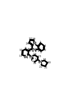 c1ccc2c(c1)NC(c1cccnc1N1CCC(N3CCCC3)CC1)c1cccn1-2